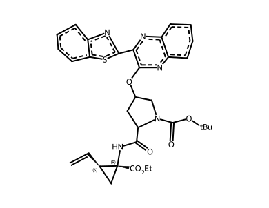 C=C[C@@H]1C[C@]1(NC(=O)C1CC(Oc2nc3ccccc3nc2-c2nc3ccccc3s2)CN1C(=O)OC(C)(C)C)C(=O)OCC